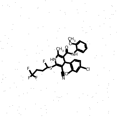 COc1ccccc1NC(=O)C1=C(C)NC(SC(F)CCC(F)(F)F)=C(C#N)C1c1ccc(Cl)cc1Cl